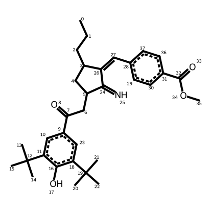 CCCC1CC(CC(=O)c2cc(C(C)(C)C)c(O)c(C(C)(C)C)c2)C(=N)C1=Cc1ccc(C(=O)OC)cc1